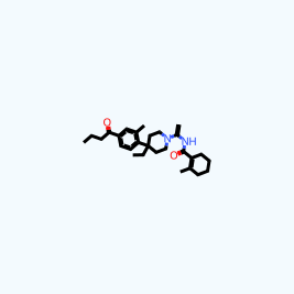 C=C(NC(=O)C1=C(C)CCCC1)N1CCC(CC)(c2ccc(C(=O)CCC)cc2C)CC1